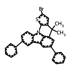 CC1(C)c2cc(Br)sc2-n2c3ccc(-c4ccccc4)cc3c3cc(-c4ccccc4)cc1c32